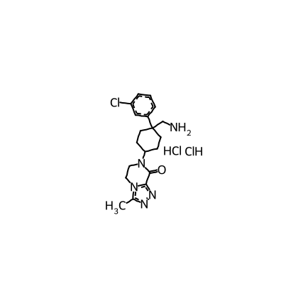 Cc1nnc2n1CCN(C1CCC(CN)(c3cccc(Cl)c3)CC1)C2=O.Cl.Cl